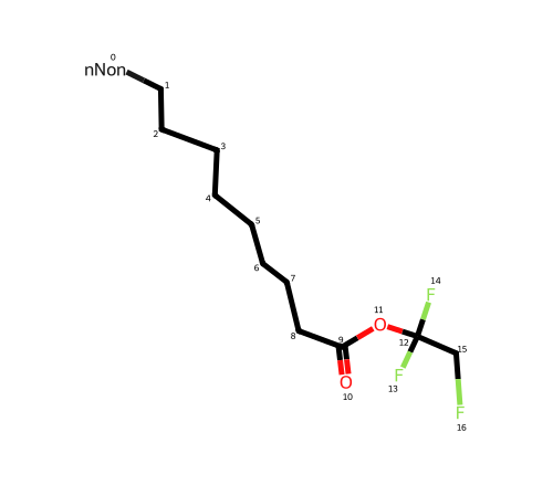 CCCCCCCCCCCCCCCCCC(=O)OC(F)(F)CF